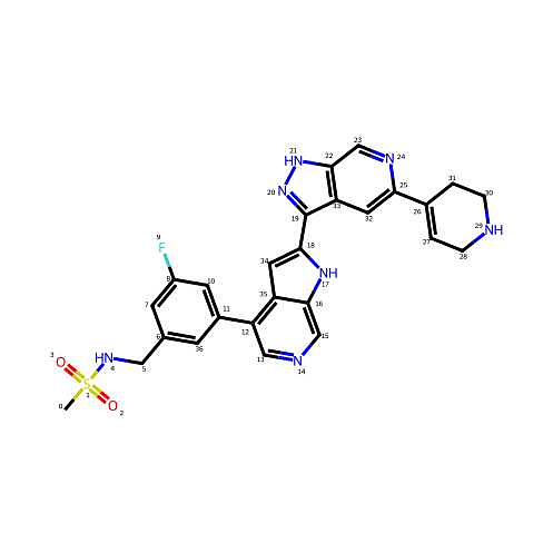 CS(=O)(=O)NCc1cc(F)cc(-c2cncc3[nH]c(-c4n[nH]c5cnc(C6=CCNCC6)cc45)cc23)c1